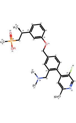 COc1cc(-c2ccc(COc3cccc([C@H](C)CP(C)(=O)O)c3)cc2CN(C(C)C)C(C)C)c(F)cn1